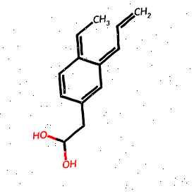 C=C/C=c1/cc(CC(O)O)cc/c1=C/C